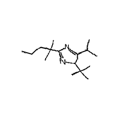 CCCC(C)(C)C1=NC(C(C)(C)C)C(C(C)C)=N1